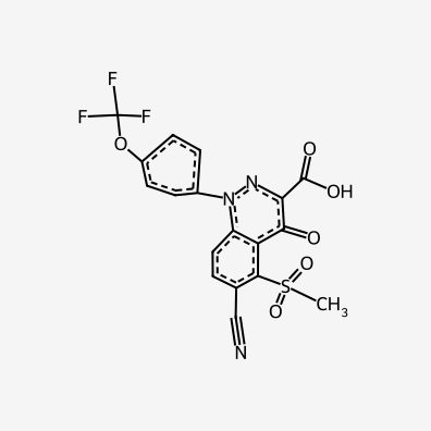 CS(=O)(=O)c1c(C#N)ccc2c1c(=O)c(C(=O)O)nn2-c1ccc(OC(F)(F)F)cc1